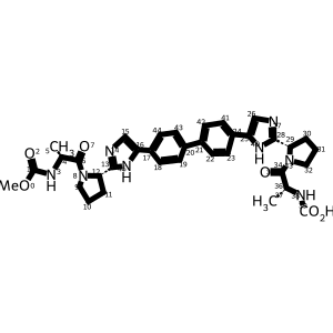 COC(=O)N[C@H](C)C(=O)N1CCC[C@H]1c1ncc(-c2ccc(-c3ccc(-c4cnc([C@@H]5CCCN5C(=O)[C@@H](C)NC(=O)O)[nH]4)cc3)cc2)[nH]1